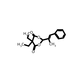 CCC1(CC)C(=O)OC(C(C)=Cc2ccccc2)OC1=O